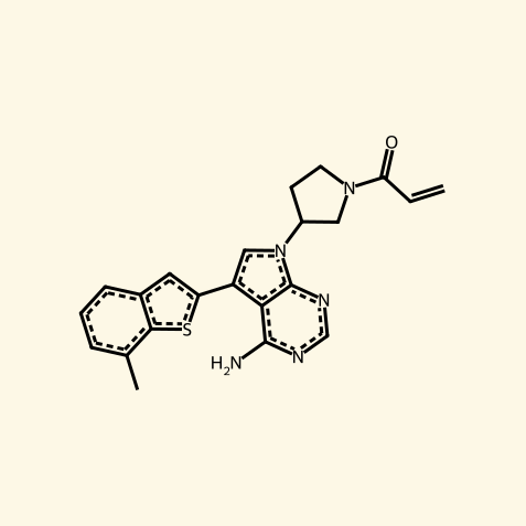 C=CC(=O)N1CCC(n2cc(-c3cc4cccc(C)c4s3)c3c(N)ncnc32)C1